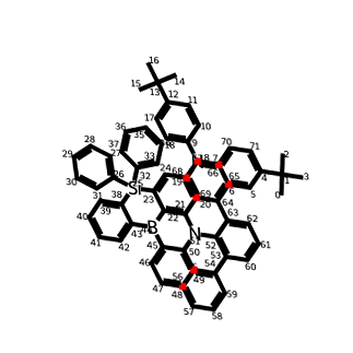 CC(C)(C)c1ccc(N(c2ccc(C(C)(C)C)cc2)c2cc3c4c(c2)[Si](c2ccccc2)(c2ccccc2)c2ccccc2B4c2ccccc2N3c2c(-c3ccccc3)cccc2-c2ccccc2)cc1